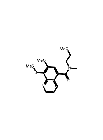 COCCN(C)C(=O)c1cc(OC)c(SSC)c2ncccc12